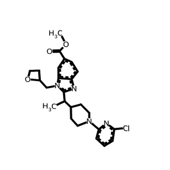 COC(=O)c1ccc2nc(C(C)C3CCN(c4cccc(Cl)n4)CC3)n(CC3CCO3)c2c1